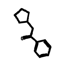 O=C(CC1CCCC1)c1ccccc1